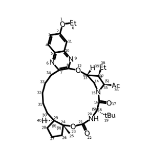 CCOc1ccc2nc3c(nc2c1)O[C@H]1CN(C(=O)[C@H](C(C)(C)C)NC(=O)O[C@]2(C)CCC[C@H]2CCCCC3)[C@H](C(C)=O)[C@@H]1CC